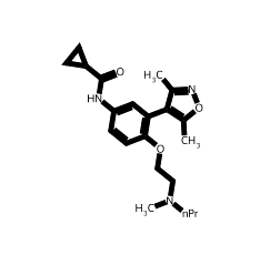 CCCN(C)CCOc1ccc(NC(=O)C2CC2)cc1-c1c(C)noc1C